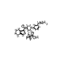 NCc1cccc(C2CCN(C(=O)c3scc4c3CCCC4)CC2)c1.O=C(O)C(F)(F)F